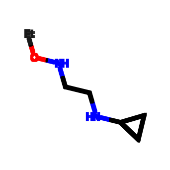 CCONCCNC1CC1